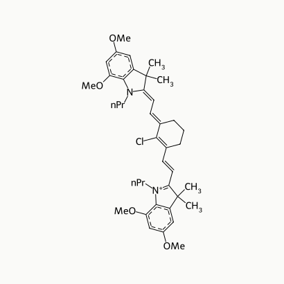 CCCN1/C(=C\C=C2/CCCC(/C=C/C3=[N+](CCC)c4c(OC)cc(OC)cc4C3(C)C)=C2Cl)C(C)(C)c2cc(OC)cc(OC)c21